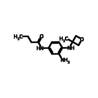 CCCC(=O)Nc1ccc(NC2(C)COC2)c(N)c1